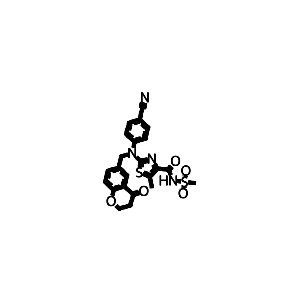 Cc1sc(N(Cc2ccc3c(c2)C(=O)CCO3)c2ccc(C#N)cc2)nc1C(=O)NS(C)(=O)=O